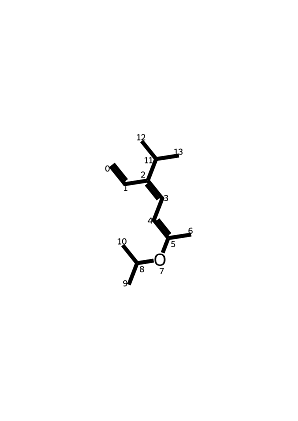 C=C/C(=C\C=C(/C)OC(C)C)C(C)C